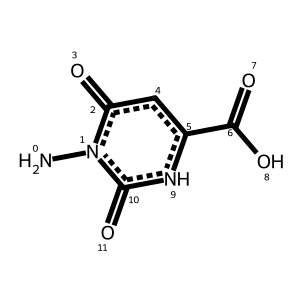 Nn1c(=O)cc(C(=O)O)[nH]c1=O